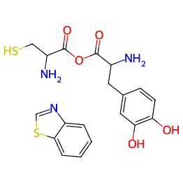 NC(CS)C(=O)OC(=O)C(N)Cc1ccc(O)c(O)c1.c1ccc2scnc2c1